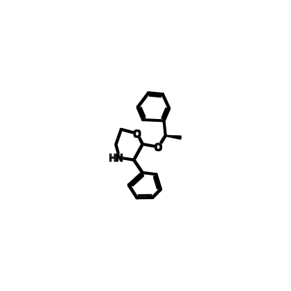 C[C@@H](OC1OCCNC1c1ccccc1)c1ccccc1